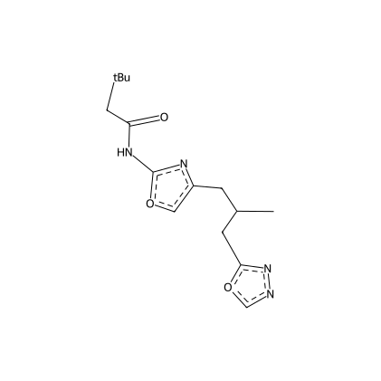 CC(Cc1coc(NC(=O)CC(C)(C)C)n1)Cc1nnco1